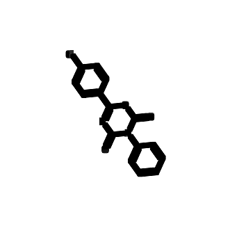 O=c1nc(-c2ccc(Cl)cc2)oc(=O)n1-c1ccccc1